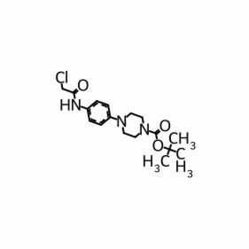 CC(C)(C)OC(=O)N1CCN(c2ccc(NC(=O)CCl)cc2)CC1